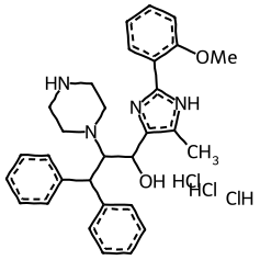 COc1ccccc1-c1nc(C(O)C(C(c2ccccc2)c2ccccc2)N2CCNCC2)c(C)[nH]1.Cl.Cl.Cl